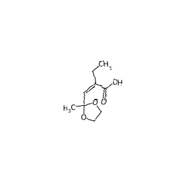 CCC(=CC1(C)OCCO1)C(=O)O